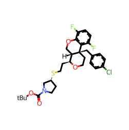 CC(C)(C)OC(=O)N1CC[C@@H](SCC[C@@H]2OCC[C@@]3(Cc4ccc(Cl)cc4)c4c(F)ccc(F)c4OC[C@@H]23)C1